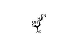 CC(=O)C(CNCC#N)=NO